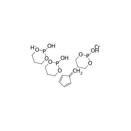 C=C1C=CC=C1.OP1OCCCO1.OP1OCCCO1.OP1OCCCO1.[Cr].[H-]